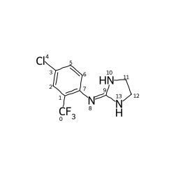 FC(F)(F)c1cc(Cl)ccc1N=C1NCCN1